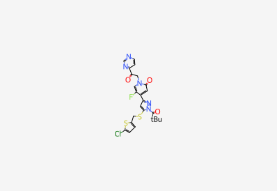 CC(C)(C)C(=O)n1nc(-c2cc(=O)n(CC(=O)c3ccncn3)cc2F)cc1SCc1ccc(Cl)s1